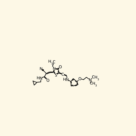 CCn1c(=C=C(C#N)C(=O)NCC2CC2)sc(=C=CNc2cccc(OCCN(C)C)c2)c1=O